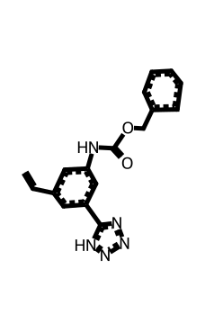 C=Cc1cc(NC(=O)OCc2ccccc2)cc(-c2nnn[nH]2)c1